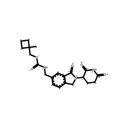 CC1(COC(=O)NCc2ccc3c(c2)C(=O)N(C2CCC(=O)NC2=O)C3)CCC1